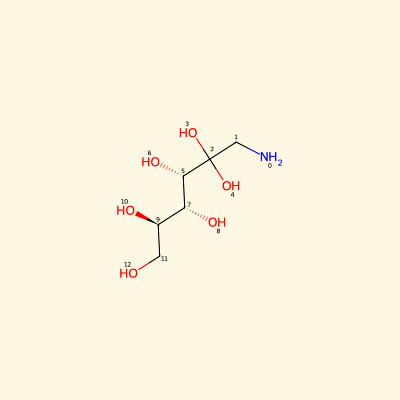 NCC(O)(O)[C@@H](O)[C@H](O)[C@H](O)CO